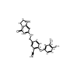 N#Cc1cc(COc2cc3n(c(=O)n2)CCN3)ccc1Oc1ccc(F)c(Cl)c1